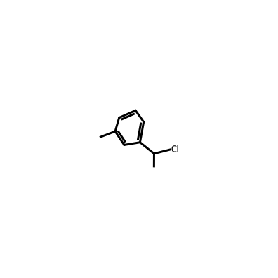 Cc1cccc(C(C)Cl)c1